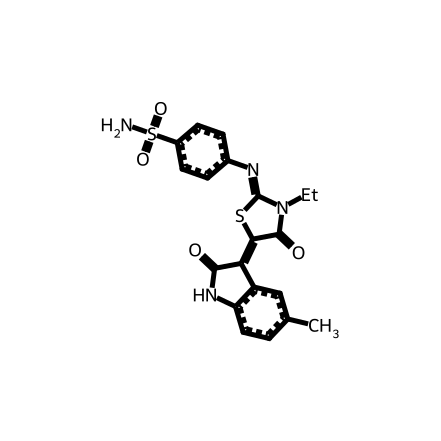 CCN1C(=O)/C(=C2/C(=O)Nc3ccc(C)cc32)S/C1=N\c1ccc(S(N)(=O)=O)cc1